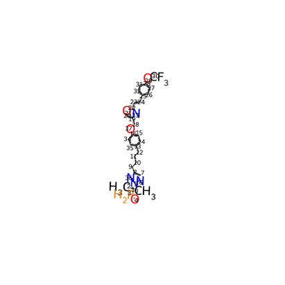 CC(C)([PH2]=O)n1ncc(CCCCc2ccc(OCc3coc(C=Cc4ccc(OC(F)(F)F)cc4)n3)cc2)n1